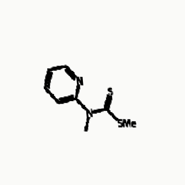 CSC(=S)N(C)c1ccccn1